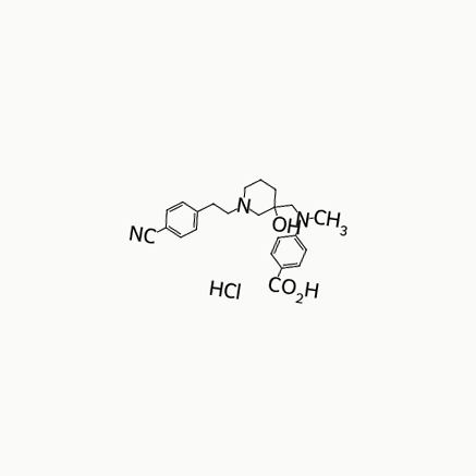 CN(CC1(O)CCCN(CCc2ccc(C#N)cc2)C1)c1ccc(C(=O)O)cc1.Cl